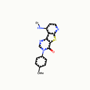 CCNc1ccnc2sc3c(=O)n(-c4ccc(OC)cc4)cnc3c12